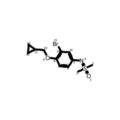 CS(C)(=O)=Nc1ccc(OCC2CC2)c(Br)c1